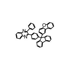 c1ccc(-c2nc3ccccc3nc2-c2ccc(C3(c4ccc5oc6ccccc6c5c4)c4ccccc4-c4ccccc43)cc2)cc1